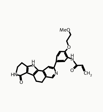 C=CC(=O)Nc1cc(-c2cc3c(cn2)CCc2c-3[nH]c3c2C(=O)NCC3)ccc1OCCOC